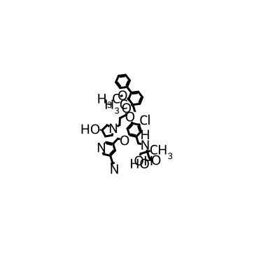 COC1(C)C(c2ccccc2)=CC=CC1(COc1cc(OCc2cncc(C#N)c2)c(CNC(C)(CO)C(=O)O)cc1Cl)OCCCN1CC[C@@H](O)C1